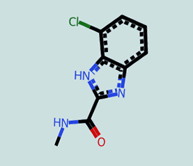 CNC(=O)c1nc2cccc(Cl)c2[nH]1